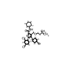 CN(C)CCOCc1c(C(=O)NC2CCCCC2)nn(-c2ccc(Cl)cc2Cl)c1-c1ccc(Br)cc1